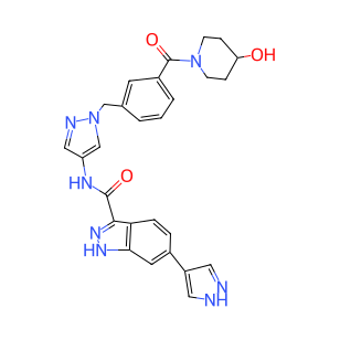 O=C(Nc1cnn(Cc2cccc(C(=O)N3CCC(O)CC3)c2)c1)c1n[nH]c2cc(-c3cn[nH]c3)ccc12